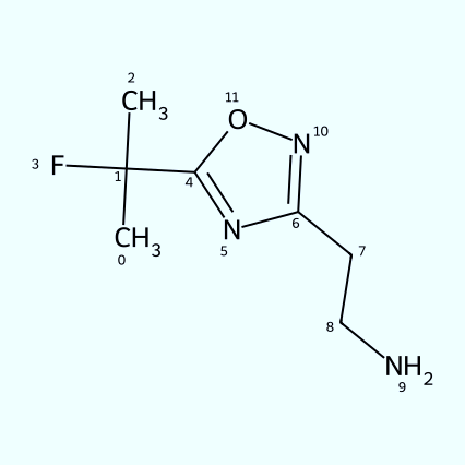 CC(C)(F)c1nc(CCN)no1